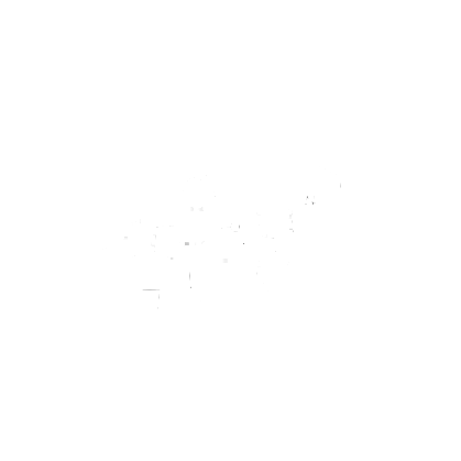 Cc1ccc2c(c1)C1(CC(C)(C)CC(C)(C)C1)c1c3c(c4ccccc4c1-2)OC(c1ccccc1)(c1ccc(N2CCCCC2)cc1)C=C3